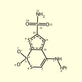 CCCNC1=CS[N+]([O-])([O-])c2sc(S(N)(=O)=O)cc21